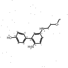 COCCNc1ccc(N)c(-c2ccc(O)cc2)c1